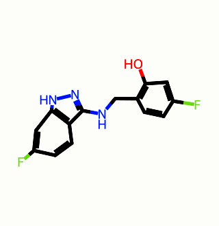 Oc1cc(F)ccc1CNc1n[nH]c2cc(F)ccc12